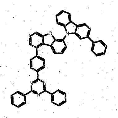 c1ccc(-c2ccc3c4ccccc4n(-c4cccc5c4oc4cccc(-c6ccc(-c7nc(-c8ccccc8)nc(-c8ccccc8)n7)cc6)c45)c3c2)cc1